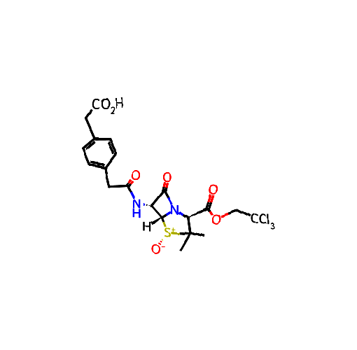 CC1(C)[C@H](C(=O)OCC(Cl)(Cl)Cl)N2C(=O)[C@@H](NC(=O)Cc3ccc(CC(=O)O)cc3)[C@H]2[S@@+]1[O-]